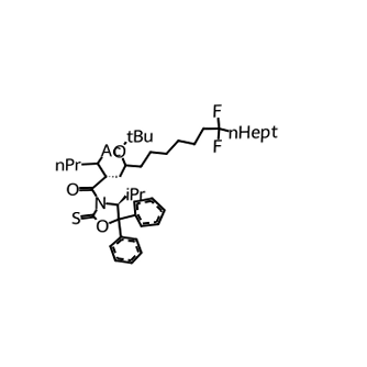 CCCCCCCC(F)(F)CCCCCCC(C[C@H](C(=O)N1C(=S)OC(c2ccccc2)(c2ccccc2)[C@@H]1C(C)C)C(CCC)C(C)=O)OC(C)(C)C